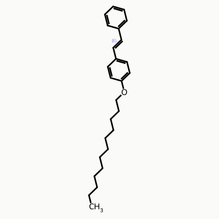 CCCCCCCCCCCCOc1ccc(/C=C/c2ccccc2)cc1